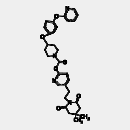 CC1(C)CC(=O)N(CCc2ccc(OC(=O)N3CCC(Oc4ccc(Oc5ccccn5)cc4)CC3)nc2)C(=O)C1